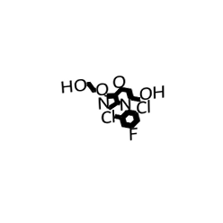 O=C1C=C(CO)N(c2c(Cl)cc(F)cc2Cl)C2C=NC(OCCO)=C12